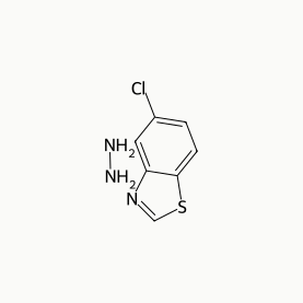 Clc1ccc2scnc2c1.NN